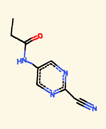 CCC(=O)Nc1cnc(C#N)nc1